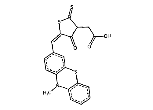 CN1c2ccccc2Sc2cc(C=C3SC(=S)C(CC(=O)O)C3=O)ccc21